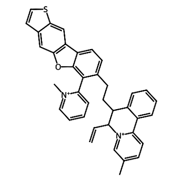 C=CC1C(CCc2ccc3c(oc4cc5ccsc5cc43)c2-c2cccc[n+]2C)c2ccccc2-c2ccc(C)c[n+]21